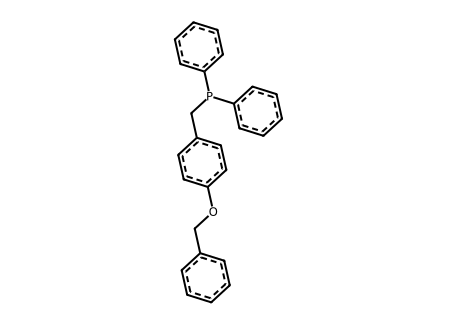 c1ccc(COc2ccc(CP(c3ccccc3)c3ccccc3)cc2)cc1